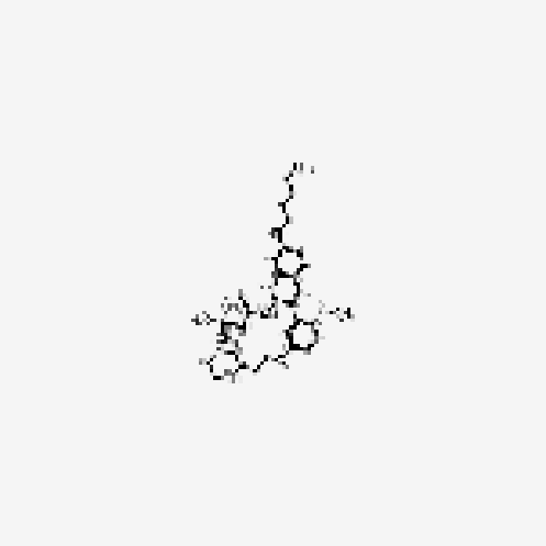 CCCCCNc1ccc2cc(-c3cc(OCCC4CCCCN4)ccc3OC)c(NC(=O)NC(C)(C)C)nc2n1